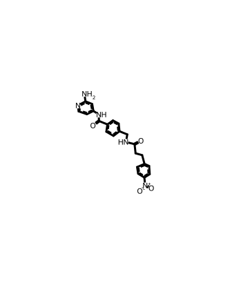 Nc1cc(NC(=O)c2ccc(CNC(=O)CCc3ccc([N+](=O)[O-])cc3)cc2)ccn1